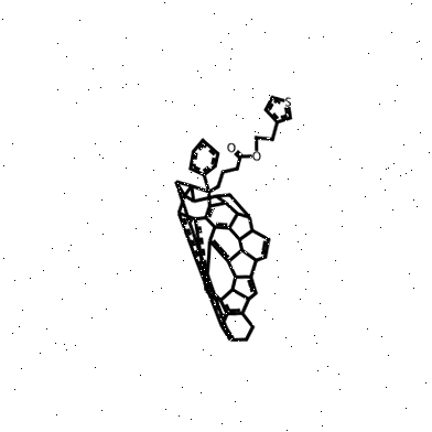 O=C(CCCC1(c2ccccc2)C2=C3C4=C5C6C7C=CC8C9=CC%10C%11=c%12c%13c(c3c3c%12=C(CC%11)C%11C3%12C(C3CC7C5C23)C%111%12)C4=C(C9C%13%10)C86)OCCc1ccsc1